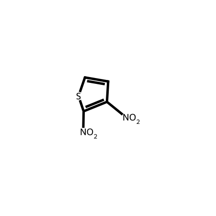 O=[N+]([O-])c1ccsc1[N+](=O)[O-]